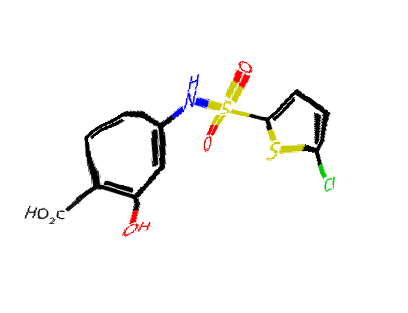 O=C(O)c1ccc(NS(=O)(=O)c2ccc(Cl)s2)cc1O